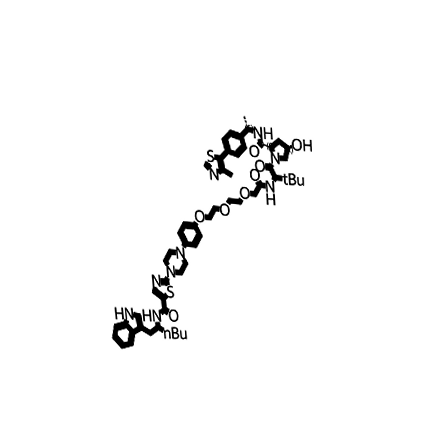 CCCCC(Cc1c[nH]c2ccccc12)NC(=O)c1cnc(N2CCN(c3ccc(OCCOCCOCC(=O)NC(C(=O)N4C[C@H](O)C[C@H]4C(=O)N[C@@H](C)c4ccc(-c5scnc5C)cc4)C(C)(C)C)cc3)CC2)s1